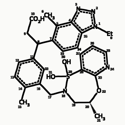 CCn1nnc2c(C)c(C(CC(=O)O)c3ccc(C)c(CN4C[C@@H](C)Oc5ncccc5S4(O)O)c3)ccc21